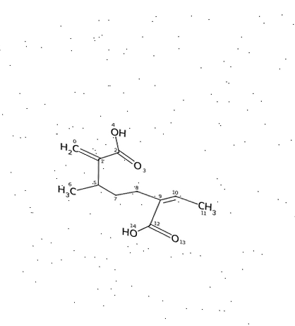 C=C(C(=O)O)C(C)CC/C(=C/C)C(=O)O